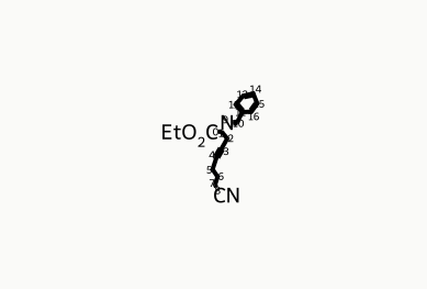 CCOC(=O)C(CC#CCCCC#N)/N=C/c1ccccc1